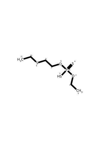 CCOP(=S)(S)OCCSCC